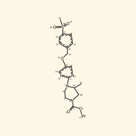 CC(C)OC(=O)N1CCN(c2ncc(OCc3ccc(S(C)(=O)=O)cc3)cn2)C(C)C1